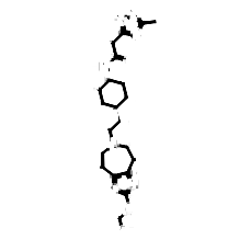 Cc1nnc(CC(=O)N[C@H]2CC[C@H](CCN3CCc4nc(OCC(F)(F)F)sc4CC3)CC2)o1